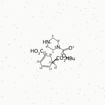 CC(C)(C)OC(=O)N1CCNCC1.C[C@]1(C(=O)O)C=CC=C(C(=O)O)C1